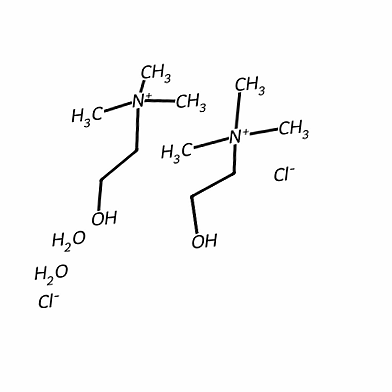 C[N+](C)(C)CCO.C[N+](C)(C)CCO.O.O.[Cl-].[Cl-]